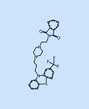 O=C1c2ccccc2C(=O)N1CCN1CCN(CCCN2c3ccccc3Sc3ccc(C(F)(F)F)cc32)CC1